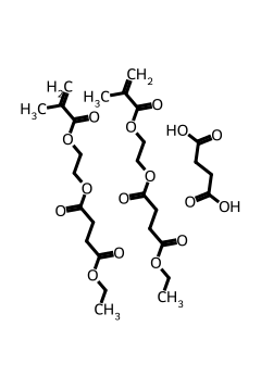 C=C(C)C(=O)OCCOC(=O)CCC(=O)OCC.C=C(C)C(=O)OCCOC(=O)CCC(=O)OCC.O=C(O)CCC(=O)O